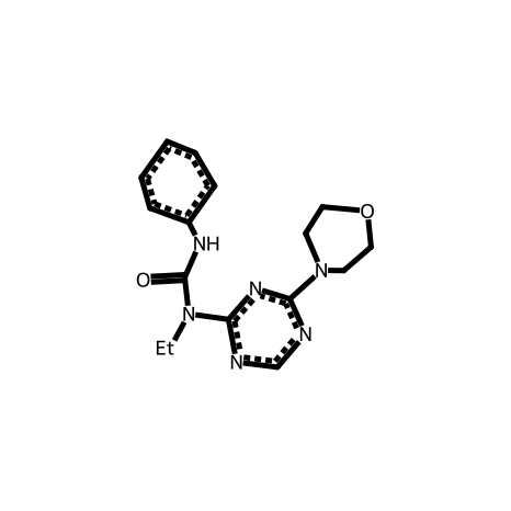 CCN(C(=O)Nc1ccccc1)c1ncnc(N2CCOCC2)n1